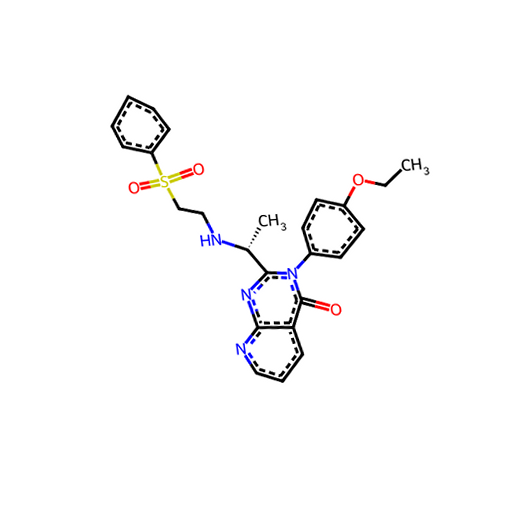 CCOc1ccc(-n2c([C@@H](C)NCCS(=O)(=O)c3ccccc3)nc3ncccc3c2=O)cc1